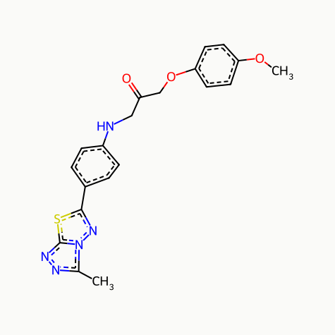 COc1ccc(OCC(=O)CNc2ccc(-c3nn4c(C)nnc4s3)cc2)cc1